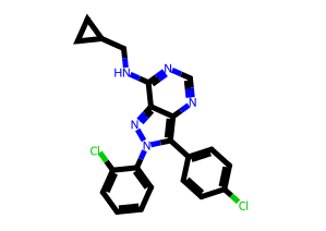 Clc1ccc(-c2c3ncnc(NCC4CC4)c3nn2-c2ccccc2Cl)cc1